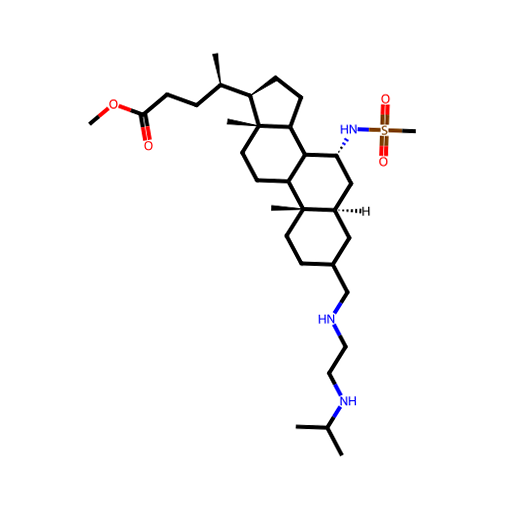 COC(=O)CC[C@@H](C)[C@H]1CCC2C3C(CC[C@@]21C)[C@@]1(C)CCC(CNCCNC(C)C)C[C@@H]1C[C@H]3NS(C)(=O)=O